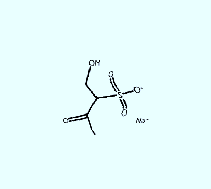 CC(=O)C(CO)S(=O)(=O)[O-].[Na+]